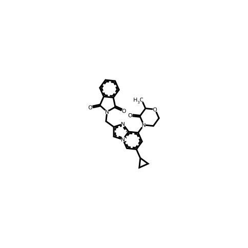 CC1OCCN(c2cc(C3CC3)cn3cc(CN4C(=O)c5ccccc5C4=O)nc23)C1=O